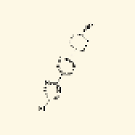 CCC[C@H]1CC[C@H](c2ccc(-c3ncc(CC)cn3)cc2)CC1